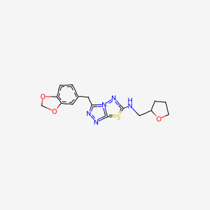 c1cc2c(cc1Cc1nnc3sc(NCC4CCCO4)nn13)OCO2